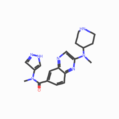 CN(C(=O)c1ccc2nc(N(C)C3CCNCC3)cnc2c1)c1cn[nH]c1